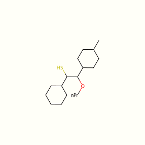 CCCOC(C1CCC(C)CC1)C(S)C1CCCCC1